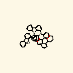 c1ccc(-n2c3ccccc3c3cccc(N(c4cccc(-c5cccc6c5oc5ccccc56)c4)c4ccccc4-c4cccc5cccc(C6CCCCC6)c45)c32)cc1